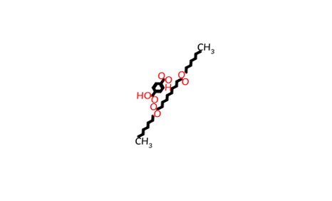 CCCCCCCCOC(=O)CCCCCCCCC(=O)OCCCCCCCC.O=C(O)c1ccc(C(=O)O)cc1